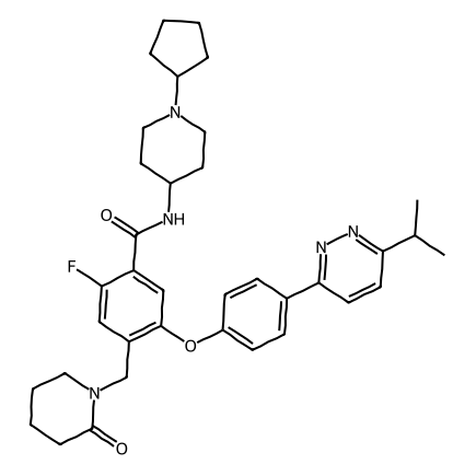 CC(C)c1ccc(-c2ccc(Oc3cc(C(=O)NC4CCN(C5CCCC5)CC4)c(F)cc3CN3CCCCC3=O)cc2)nn1